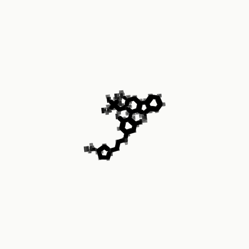 C[C@H]1CCN(CCOc2cc(F)c([C@@H]3c4[nH]c5ccccc5c4C[C@@H](C)N3CC(C)(C)F)c(F)c2)C1